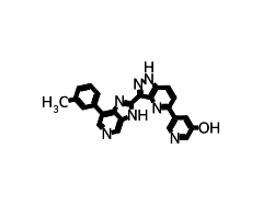 Cc1cccc(-c2cncc3[nH]c(-c4n[nH]c5ccc(-c6cncc(O)c6)nc45)nc23)c1